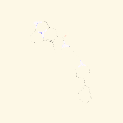 O=C(NCCCN1CCC(c2ccccc2)CC1)C1=CC2CNC3=CC=CC(=C1S(=O)(=O)O)N32